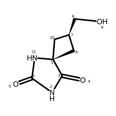 O=C1NC(=O)[C@]2(C[C@H](CO)C2)N1